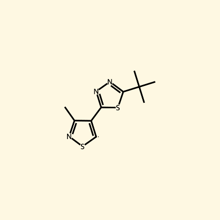 Cc1ns[c]c1-c1nnc(C(C)(C)C)s1